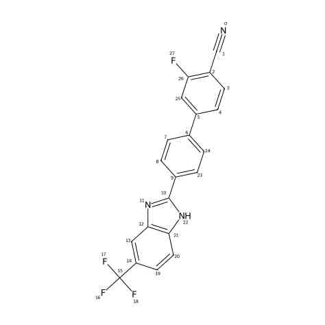 N#Cc1ccc(-c2ccc(-c3nc4cc(C(F)(F)F)ccc4[nH]3)cc2)cc1F